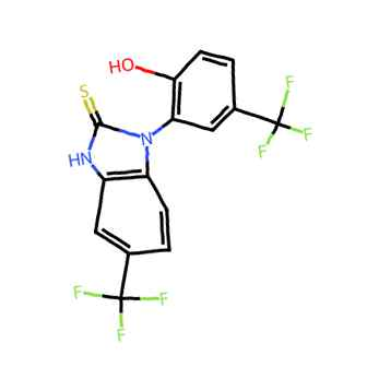 Oc1ccc(C(F)(F)F)cc1-n1c(=S)[nH]c2cc(C(F)(F)F)ccc21